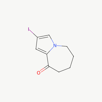 O=C1CCCCn2cc(I)cc21